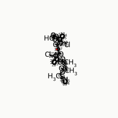 CC(COC(=O)N(C)CCN(C)C(=O)Oc1cc2c(c3ccccc13)C(CCl)CN2C(=O)C12CC(C(=O)N3C[C@@H](CCl)c4c3cc(OP(=O)(O)O)c3ccccc43)(C1)C2)SSc1ccccn1